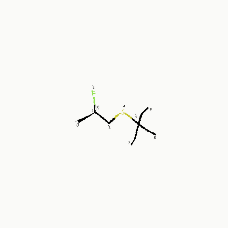 [CH2][C@@H](F)CSC(C)(C)C